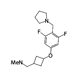 CNCC1CC(Oc2cc(F)c(CN3CCCC3)c(F)c2)C1